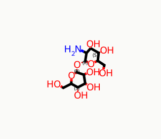 NC1C(O)[C@H](O)C(CO)O[C@@H]1O[C@H]1OC(CO)[C@@H](O)C(O)C1O